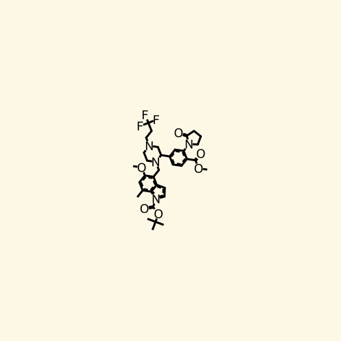 COC(=O)c1ccc(C2CN(CCC(F)(F)F)CCN2Cc2c(OC)cc(C)c3c2ccn3C(=O)OC(C)(C)C)cc1N1CCCC1=O